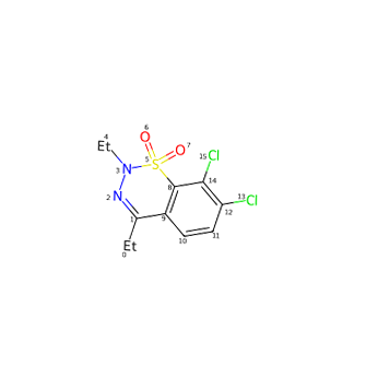 CCC1=NN(CC)S(=O)(=O)c2c1ccc(Cl)c2Cl